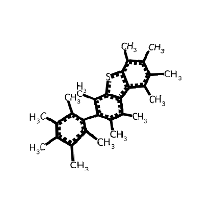 Cc1c(C)c(C)c(-c2c(C)c(C)c3c(sc4c(C)c(C)c(C)c(C)c43)c2C)c(C)c1C